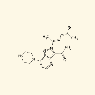 C/C(Br)=C\C=C(/C)n1nc2c(N3CCNCC3)ccnc2c1C(N)=O